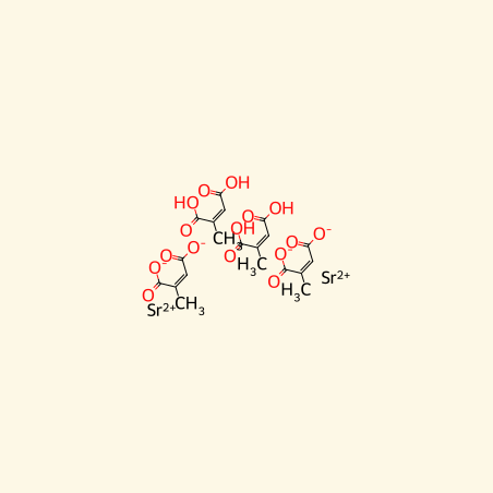 CC(=CC(=O)O)C(=O)O.CC(=CC(=O)O)C(=O)O.CC(=CC(=O)[O-])C(=O)[O-].CC(=CC(=O)[O-])C(=O)[O-].[Sr+2].[Sr+2]